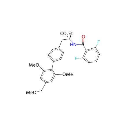 CCOC(=O)[C@H](Cc1ccc(-c2c(OC)cc(COC)cc2OC)cc1)NC(=O)c1c(F)cccc1F